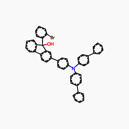 OC1(c2ccccc2Br)c2ccccc2-c2ccc(-c3ccc(N(c4ccc(-c5ccccc5)cc4)c4ccc(-c5ccccc5)cc4)cc3)cc21